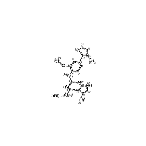 CCCCNc1nc(Nc2ccc(-c3nncn3C)cc2OCC)nc2[nH]cc(C#N)c12